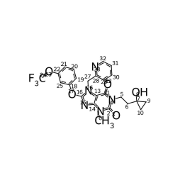 Cn1c(=O)n(CCC2(O)CC2)c(=O)c2c1nc(Oc1cccc(OC(F)(F)F)c1)n2Cc1ccccn1